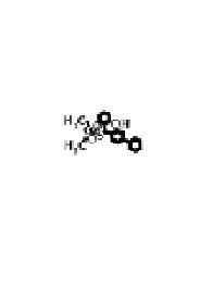 CCOP(=O)(OCC)SC(c1ccc(-c2ccccc2)cc1)c1ccccc1O